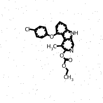 CCOC(=O)Oc1ncc2[nH]c3cccc(Oc4ccc(Cl)cc4)c3c2c1C